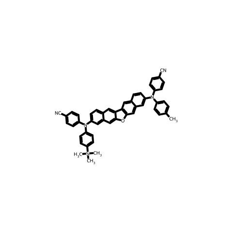 Cc1ccc(N(c2ccc(C#N)cc2)c2ccc3cc4c(cc3c2)oc2cc3cc(N(c5ccc(C#N)cc5)c5ccc([Si](C)(C)C)cc5)ccc3cc24)cc1